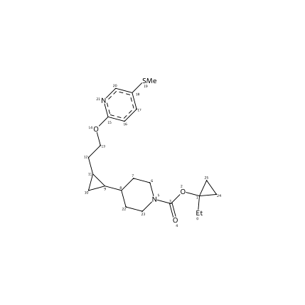 CCC1(OC(=O)N2CCC(C3CC3CCOc3ccc(SC)cn3)CC2)CC1